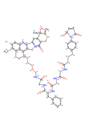 C=C1OCc2c(cc3n(c2=O)Cc2c-3nc3cc(F)c(C)c4c3c2[C@@H](OCCOCNC(=O)CNC(=O)[C@H](Cc2ccccc2)NC(=O)CNC(=O)CNC(=O)CCCc2ccc(N3C(=O)C=CC3=O)cc2)CC4)[C@@]1(O)CC